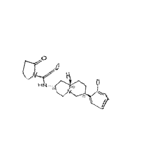 O=C1CCCN1C(=O)N[C@H]1CCN2C[C@H](c3ccccc3Cl)CC[C@H]2C1